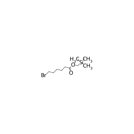 C[Si](C)(C)COC(=O)CCCCCBr